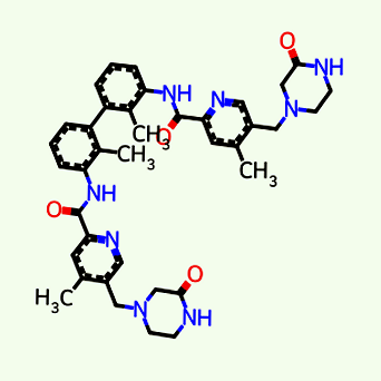 Cc1cc(C(=O)Nc2cccc(-c3cccc(NC(=O)c4cc(C)c(CN5CCNC(=O)C5)cn4)c3C)c2C)ncc1CN1CCNC(=O)C1